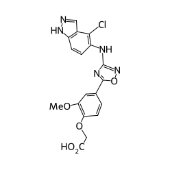 COc1cc(-c2nc(Nc3ccc4[nH]ncc4c3Cl)no2)ccc1OCC(=O)O